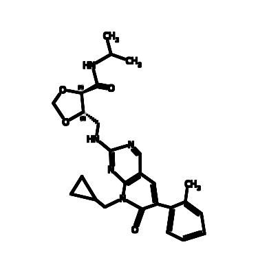 Cc1ccccc1-c1cc2cnc(NC[C@@H]3OCO[C@H]3C(=O)NC(C)C)nc2n(CC2CC2)c1=O